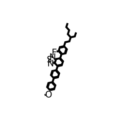 CCCCC(CC)CCc1ccc(-c2ccc(-c3ccc(-c4ccc(OC)cc4)cc3)c3nsnc23)c(F)c1